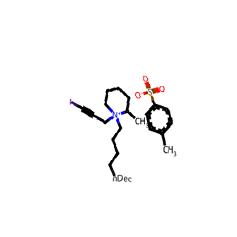 CCCCCCCCCCCCCC[N+]1(CC#CI)CCCCC1C.Cc1ccc(S(=O)(=O)[O-])cc1